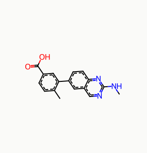 CNc1ncc2cc(-c3cc(C(=O)O)ccc3C)ccc2n1